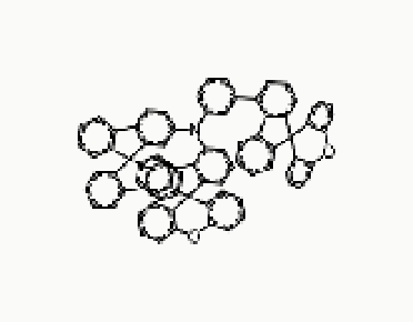 c1cc(-c2cccc3c2-c2ccccc2C32c3ccccc3Oc3ccccc32)cc(N(c2ccc3c(c2)C2(c4ccccc4-c4ccccc42)c2ccccc2-3)c2cccc3c2-c2ccccc2C32c3ccccc3Oc3ccccc32)c1